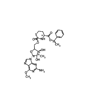 COc1nc(N)nc2c1ncn2[C@@H]1OC(CO[P@]2(=O)N[C@H](C(=O)O[C@H](C)c3ccccc3)CCS2)[C@@H](O)[C@@]1(C)O